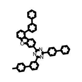 Cc1ccc(-c2cccc(-c3nc(-c4ccc(-c5ccccc5)cc4)nc(-c4ccc5c(c4)oc4cccc(-c6cccc(-c7ccccc7)c6)c45)n3)c2)cc1